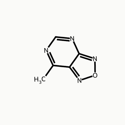 Cc1ncnc2nonc12